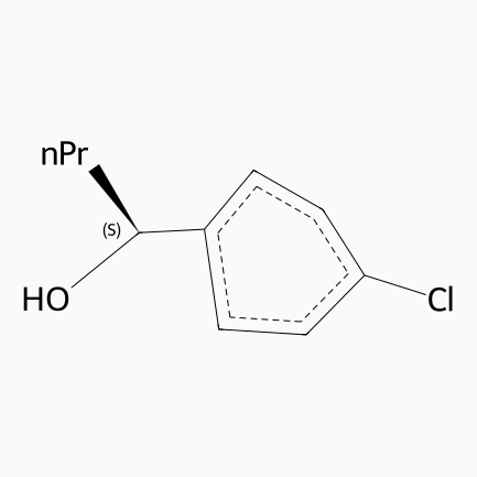 CCC[C@H](O)c1ccc(Cl)cc1